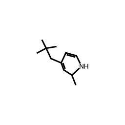 CC1C=C(CC(C)(C)C)C=CN1